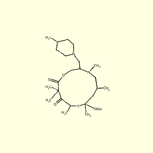 COC1(C)CC(C)CN(C)C(CN2CCN(C)CC2)COC(=O)C(C)(C)C(=O)C(C)C1